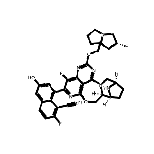 C#Cc1c(F)ccc2cc(O)cc(-c3nc4c5c(nc(OCC67CCCN6C[C@H](F)C7)nc5c3F)N3C[C@H]5CC[C@H](N5)[C@H]3CO4)c12